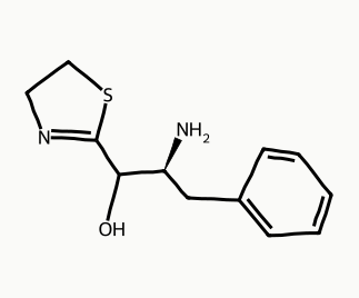 N[C@@H](Cc1ccccc1)C(O)C1=NCCS1